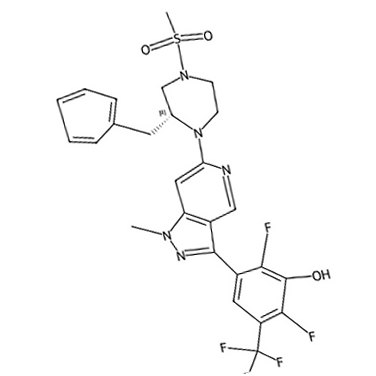 Cn1nc(-c2cc(C(F)(F)F)c(F)c(O)c2F)c2cnc(N3CCN(S(C)(=O)=O)C[C@H]3Cc3ccccc3)cc21